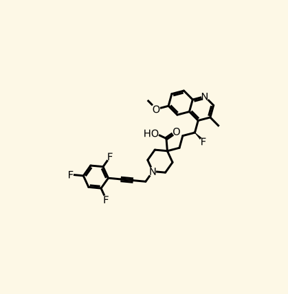 COc1ccc2ncc(C)c([C@@H](F)CCC3(C(=O)O)CCN(CC#Cc4c(F)cc(F)cc4F)CC3)c2c1